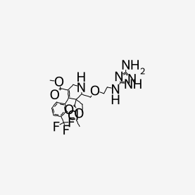 CCOC(=O)C1(CC)C(c2cccc(C(F)(F)F)c2Cl)=C(C(=O)OC)CNC1COCCNc1nc(N)n[nH]1